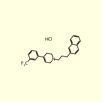 Cl.FC(F)(F)c1cccc(C2=CCN(CCCc3ccc4ccccc4c3)CC2)c1